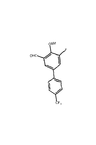 COc1c(F)cc(-c2ccc(C(F)(F)F)cc2)cc1C=O